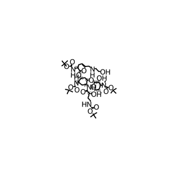 C[C@@H]1CO[C@H](O[C@@H]2C[C@H](O[C@@H]3OC(CNCCO)=CC[C@@H]3NC(=O)OC(C)(C)C)[C@@H](NC(=O)OC(C)(C)C)C[C@H]2NC(=O)[C@@H](O)CCNC(=O)OC(C)(C)C)[C@H](O)[C@H]1N(C)C(=O)OC(C)(C)C